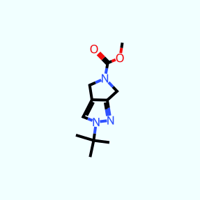 COC(=O)N1Cc2cn(C(C)(C)C)nc2C1